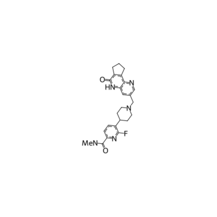 CNC(=O)c1ccc(C2CCN(Cc3cnc4c5c(c(=O)[nH]c4c3)CCC5)CC2)c(F)n1